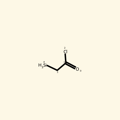 O=C(Cl)C[SiH3]